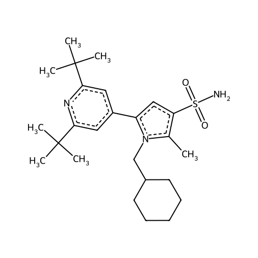 Cc1c(S(N)(=O)=O)cc(-c2cc(C(C)(C)C)nc(C(C)(C)C)c2)n1CC1CCCCC1